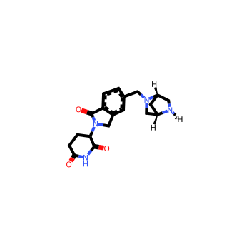 [2H]N1C[C@@H]2C[C@H]1CN2Cc1ccc2c(c1)CN(C1CCC(=O)NC1=O)C2=O